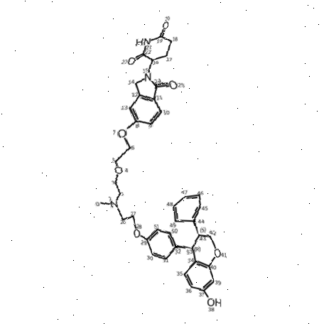 CN(CCOCCOc1ccc2c(c1)CN(C1CCC(=O)NC1=O)C2=O)CCOc1ccc([C@@H]2c3ccc(O)cc3OC[C@@H]2c2ccccc2)cc1